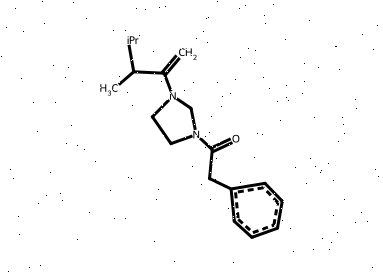 C=C(C(C)C(C)C)N1CCN(C(=O)Cc2ccccc2)C1